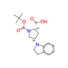 CC(C)(C)OC(=O)N1C[C@@H](N2CCc3ccccc32)C[C@H]1C(=O)O